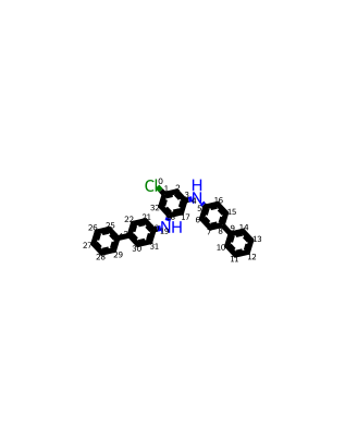 Clc1cc(Nc2ccc(-c3ccccc3)cc2)cc(Nc2ccc(-c3ccccc3)cc2)c1